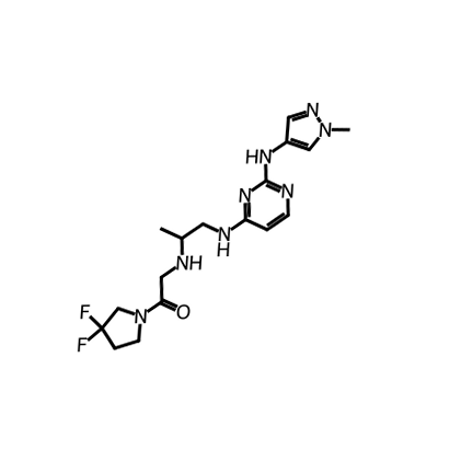 CC(CNc1ccnc(Nc2cnn(C)c2)n1)NCC(=O)N1CCC(F)(F)C1